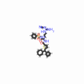 N#C/N=C(/N)NCCC[C@H](NC(=O)c1ccc(C(c2ccccc2)C2C=CCC=CC2)s1)C(=O)NS(=O)(=O)c1ccccc1